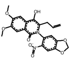 C=CCc1c(O)c2cc(OC)c(OC)cc2c(=O)n1-c1cc2c(cc1[N+](=O)[O-])OCO2